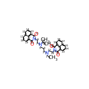 CCN(CCCN(CCN1C(=O)c2cccc3cccc(c23)C1=O)C(C)C)CCN1C(=O)c2cccc3cccc(c23)C1=O